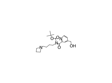 CC(C)(C)OC(=O)N(CCCCN1CCC1)C(=O)c1cc(CO)ccn1